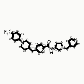 O=C(N[C@H]1CCN(Cc2ccncc2)C1)c1ccc(CC2CCN(c3ccc(C(F)(F)F)cc3)CC2)cn1